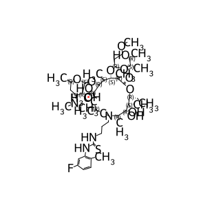 CC[C@H]1OC(=O)[C@H](C)[C@@H](O[C@@H](CCOC)O[C@@H](C)[C@@H](C)O)[C@H](C)[C@@H](O[C@@H]2O[C@H](C)C[C@H](N(C)C)[C@H]2O)[C@](C)(O)C[C@@H](C)CN(CCCNC(=S)Nc2cc(F)ccc2C)[C@H](C)[C@@H](O)[C@]1(C)O